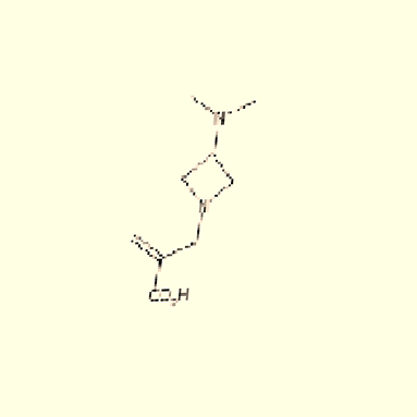 C=C(CN1CC(N(C)C)C1)C(=O)O